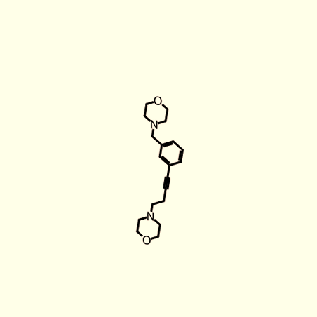 C(#Cc1cccc(CN2CCOCC2)c1)CCN1CCOCC1